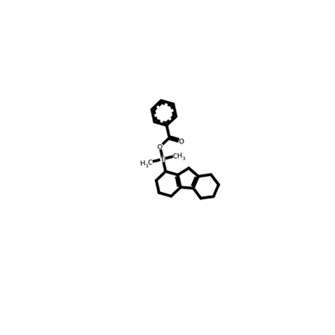 [CH3][Ti]([CH3])([O]C(=O)c1ccccc1)[CH]1CCCC2=C1CC1=C2CCCC1